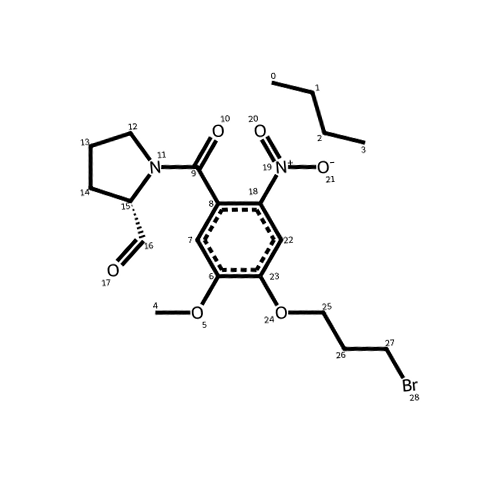 CCCC.COc1cc(C(=O)N2CCC[C@H]2C=O)c([N+](=O)[O-])cc1OCCCBr